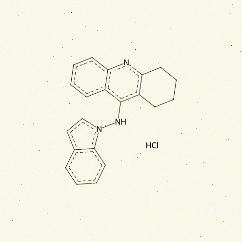 Cl.c1ccc2c(c1)ccn2Nc1c2c(nc3ccccc13)CCCC2